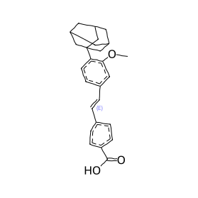 COc1cc(/C=C/c2ccc(C(=O)O)cc2)ccc1C12CC3CC(CC(C3)C1)C2